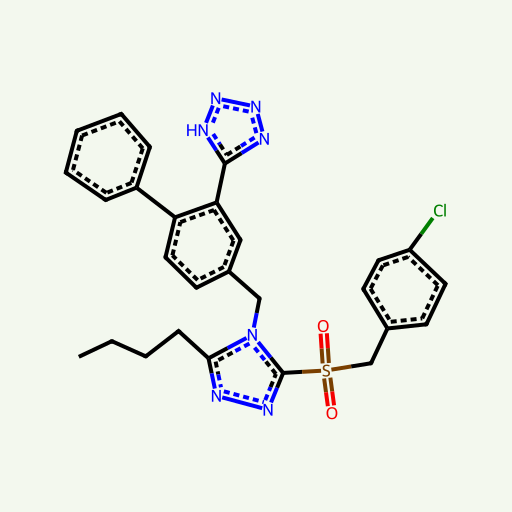 CCCCc1nnc(S(=O)(=O)Cc2ccc(Cl)cc2)n1Cc1ccc(-c2ccccc2)c(-c2nnn[nH]2)c1